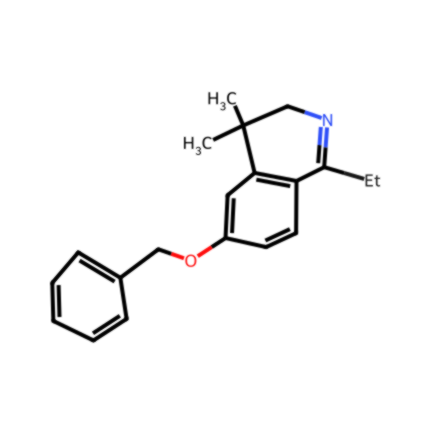 CCC1=NCC(C)(C)c2cc(OCc3ccccc3)ccc21